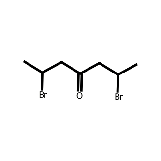 CC(Br)CC(=O)CC(C)Br